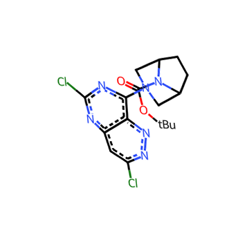 CC(C)(C)OC(=O)N1C2CCC1CN(c1nc(Cl)nc3cc(Cl)nnc13)C2